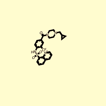 O=C(c1ccc(NS(=O)(=O)c2cccc3cccnc23)c(C(F)(F)F)c1)N1CCN(CC2CC2)CC1